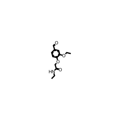 CCNC(=O)COc1ccc(C=O)cc1OCC